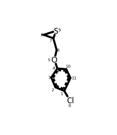 Clc1ccc(OCC2CS2)cc1